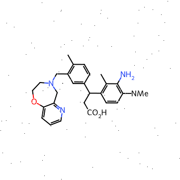 CNc1ccc(C(CC(=O)O)c2ccc(C)c(CN3CCOc4cccnc4C3)c2)c(C)c1N